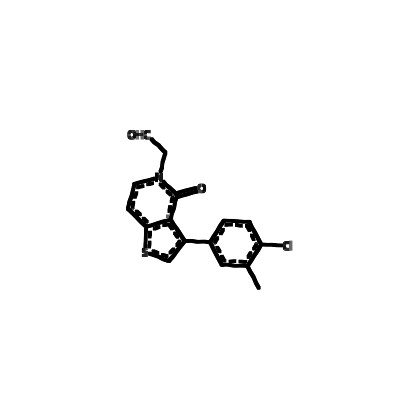 Cc1cc(-c2csc3ccn(CC=O)c(=O)c23)ccc1Cl